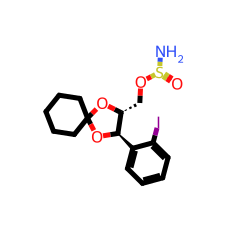 NS(=O)OC[C@H]1OC2(CCCCC2)O[C@@H]1c1ccccc1I